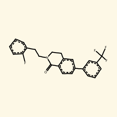 O=C1c2ccc(-c3cccc(C(F)(F)F)c3)cc2CCN1CCc1ccccc1F